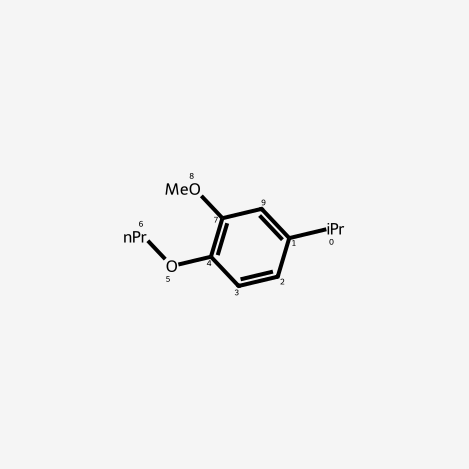 [CH2]C(C)c1ccc(OCCC)c(OC)c1